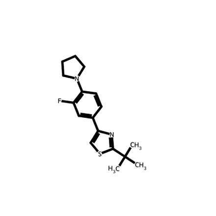 CC(C)(C)c1nc(-c2ccc(N3CCCC3)c(F)c2)cs1